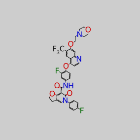 O=C(Nc1ccc(Oc2ccnc3cc(OCCN4CCOCC4)c(C(F)(F)F)cc23)c(F)c1)c1c2c(cn(-c3ccc(F)cc3)c1=O)CCO2